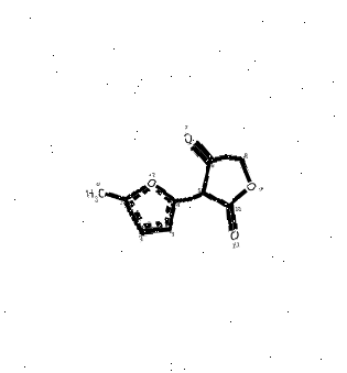 Cc1ccc(C2C(=O)COC2=O)o1